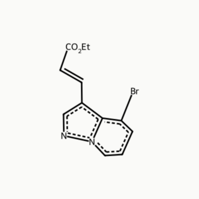 CCOC(=O)/C=C/c1cnn2cccc(Br)c12